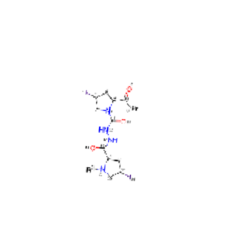 CC(C)C(=O)C1CC(I)CN1C(=O)NNC(=O)C1CC(I)CN1C(C)C